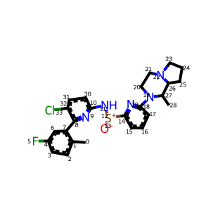 Cc1ccc(F)cc1-c1nc(N[S+]([O-])c2cccc(N3CCN4CCCC4C3C)n2)ccc1Cl